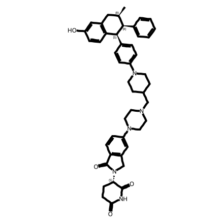 C[C@@H]1Cc2cc(O)ccc2[C@H](c2ccc(N3CCC(CN4CCN(c5ccc6c(c5)CN([C@H]5CCC(=O)NC5=O)C6=O)CC4)CC3)cc2)[C@@H]1c1ccccc1